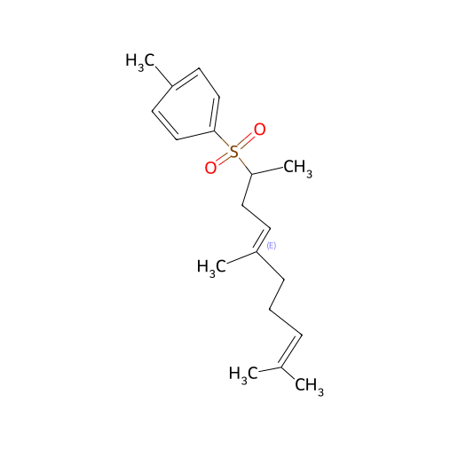 CC(C)=CCC/C(C)=C/CC(C)S(=O)(=O)c1ccc(C)cc1